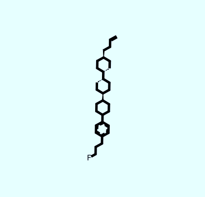 C=CCC[C@H]1CC[C@H]([C@H]2CC[C@H](C3CCC(c4ccc(CCCF)cc4)CC3)CC2)CC1